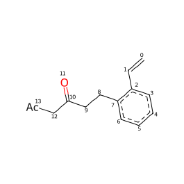 C=Cc1ccccc1CCC(=O)CC(C)=O